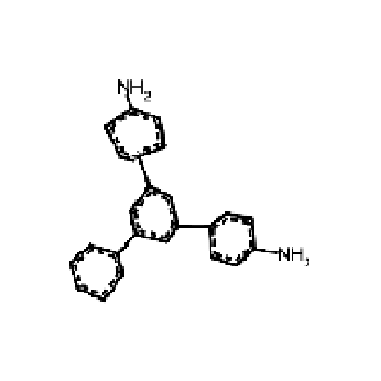 Nc1ccc(-c2cc(-c3ccccc3)cc(-c3ccc(N)cc3)c2)cc1